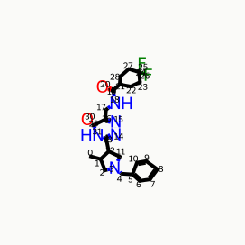 CC1CN(Cc2ccccc2)CC1c1nnc(CNC(=O)C2CCC(F)(F)CC2)c(=O)[nH]1